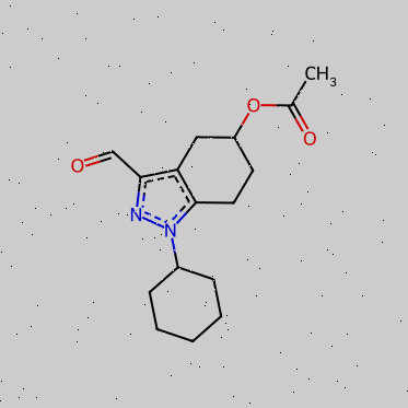 CC(=O)OC1CCc2c(c(C=O)nn2C2CCCCC2)C1